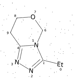 CCc1nnc2n1COCC2